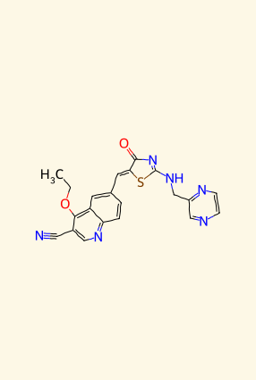 CCOc1c(C#N)cnc2ccc(/C=C3\SC(NCc4cnccn4)=NC3=O)cc12